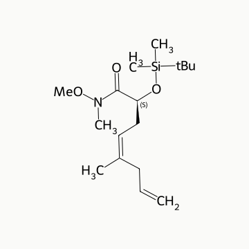 C=CCC(C)=CC[C@H](O[Si](C)(C)C(C)(C)C)C(=O)N(C)OC